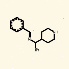 CC(C)C(/N=C/c1ccccc1)C1CCNCC1